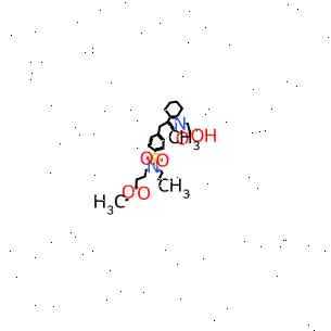 CCCN(CCCC(=O)OCC)S(=O)(=O)c1ccc(Cc2c3c(n(CC(=O)O)c2C)CCCC3)cc1